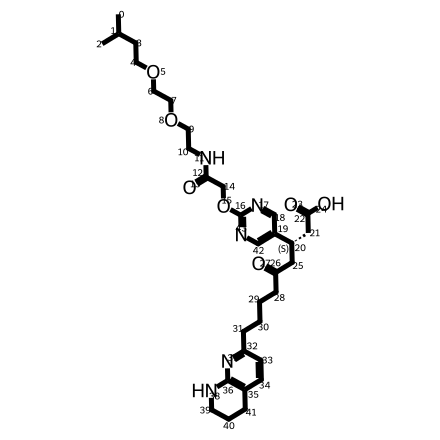 CC(C)CCOCCOCCNC(=O)COc1ncc([C@H](CC(=O)O)CC(=O)CCCCc2ccc3c(n2)NCCC3)cn1